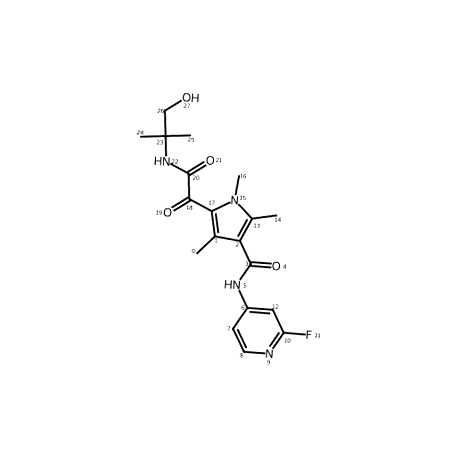 Cc1c(C(=O)Nc2ccnc(F)c2)c(C)n(C)c1C(=O)C(=O)NC(C)(C)CO